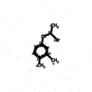 Cc1ccc(OC(C)Br)cc1C